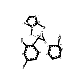 Fc1ccc([C@@]2(Cn3ncnc3[S])O[C@@H]2c2ccccc2Cl)c(F)c1